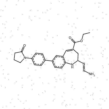 CCOC(=O)C1=Cc2cc(-c3ccc(N4CCCC4=O)cc3)ccc2NC(N=NN)C1